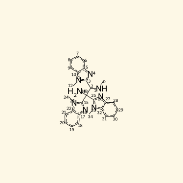 CNC(c1nc2ccccc2n1C)C(N)(c1nc2ccccc2n1C)c1nc2ccccc2n1C